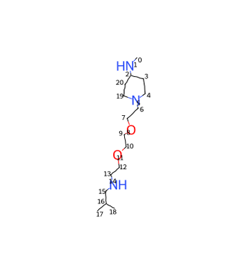 CNC1CCN(CCOCCOCCNCC(C)C)CC1